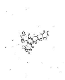 c1ccc(Oc2ccc(N(CC3CO3)CC3CO3)c(N(CC3CO3)CC3CO3)c2)cc1